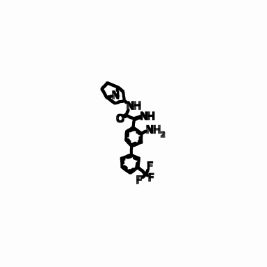 CN1C2CCC1CC(NC(=O)C(=N)c1ccc(-c3cccc(C(F)(F)F)c3)cc1N)C2